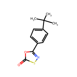 CC(C)(C)c1ccc(-c2nsc(=O)o2)cc1